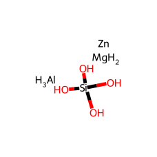 O[Si](O)(O)O.[AlH3].[MgH2].[Zn]